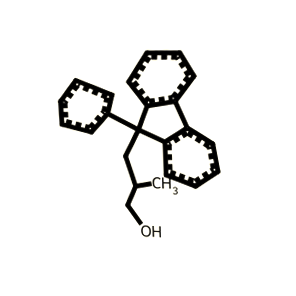 CC(CO)CC1(c2ccccc2)c2ccccc2-c2ccccc21